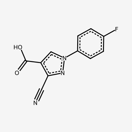 N#Cc1nn(-c2ccc(F)cc2)cc1C(=O)O